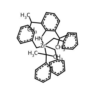 CC(C)c1cccc(C(C)C)c1[NH][Zr]([CH2]c1ccccc1)([CH2]c1ccccc1)([CH2]c1ccccc1)[C](C)(C)c1ccccn1